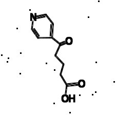 O=C(O)CCCC(=O)c1ccncc1